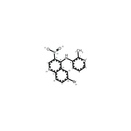 Cc1ncccc1Nc1c([N+](=O)[O-])cnc2ccc(Br)cc12